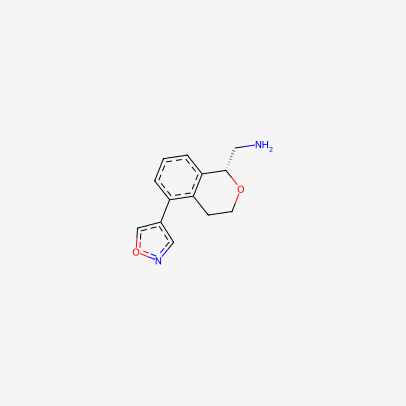 NC[C@@H]1OCCc2c(-c3cnoc3)cccc21